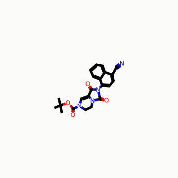 CC(C)(C)OC(=O)N1C=C2C(=O)N(c3ccc(C#N)c4ccccc34)C(=O)N2CC1